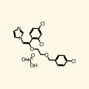 Clc1ccc(COCCO/C(=C/n2ccnc2)c2ccc(Cl)cc2Cl)cc1.O=[N+]([O-])O